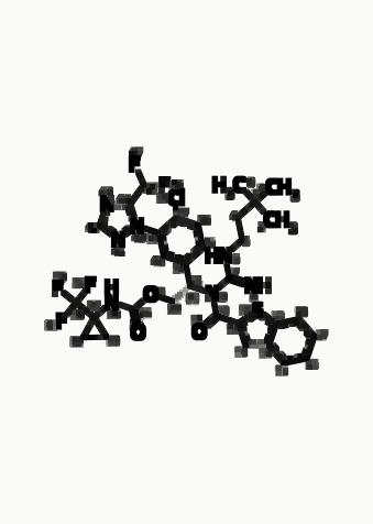 CC(C)(C)CCNC(=N)N(C(=O)c1cc2ccccc2s1)[C@H](COC(=O)NC1(C(F)(F)F)CC1)c1ccc(Cl)c(-n2ncnc2C(F)F)c1